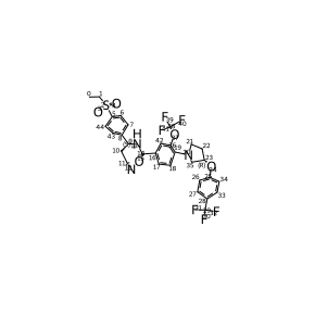 CCS(=O)(=O)c1ccc([C@H](CC#N)NC(=O)c2ccc(N3CC[C@@H](Oc4ccc(C(F)(F)F)cc4)C3)c(OC(F)(F)F)c2)cc1